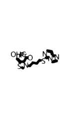 CCCC=C1SCN(CCCCSc2nccc3nccn23)C1C(=O)C=O